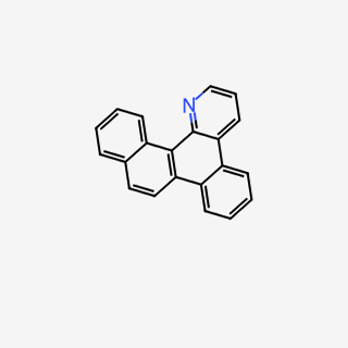 c1ccc2c(c1)ccc1c3ccccc3c3cccnc3c21